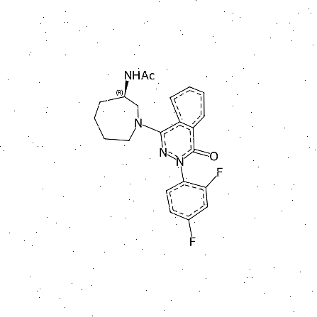 CC(=O)N[C@@H]1CCCCN(c2nn(-c3ccc(F)cc3F)c(=O)c3ccccc23)C1